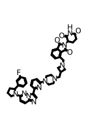 O=C1CCC(N2C(=O)c3cccc(CN4CC(CN5CCN(c6cccc(-c7cnc8ccc(N9CCCC9c9cccc(F)c9)nn78)n6)CC5)C4)c3C2=O)C(=O)N1